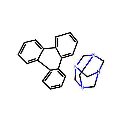 C1N2CN3CN1CN(C2)C3.c1ccc2c(c1)c1ccccc1c1ccccc21